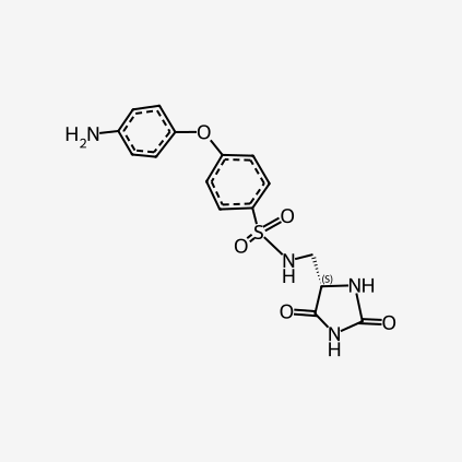 Nc1ccc(Oc2ccc(S(=O)(=O)NC[C@@H]3NC(=O)NC3=O)cc2)cc1